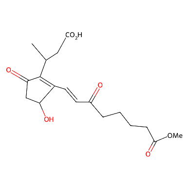 COC(=O)CCCCC(=O)C=CC1=C(C(C)CC(=O)O)C(=O)CC1O